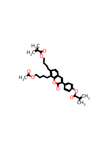 C=C(C)C(=O)OCCCCc1ccc2cc(-c3ccc(OC(=O)C(=C)C)cc3)c(=O)oc2c1CCCCOC(C)=O